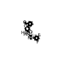 O=C1O[C@]2(CC[C@@](O)(C(=O)Nc3cn(-c4cc(F)cc(F)c4)cn3)CC2)c2ccccc21